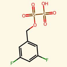 O=S(=O)(O)S(=O)(=O)OCc1cc(F)cc(F)c1